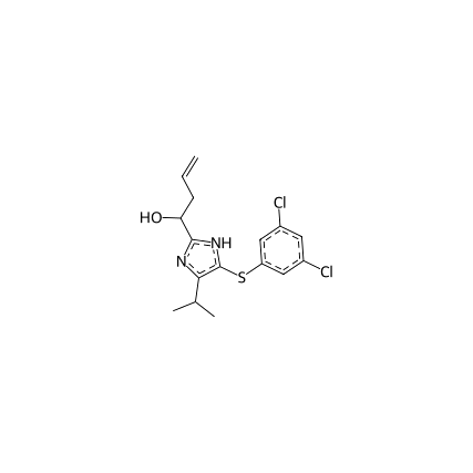 C=CCC(O)c1nc(C(C)C)c(Sc2cc(Cl)cc(Cl)c2)[nH]1